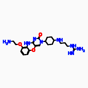 N=C(N)NCCCNC1CCC(n2cc3c(nc2=O)Nc2c(OCCN)cccc2O3)CC1